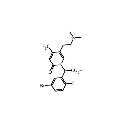 CN(C)CCc1cn(C(C(=O)O)c2cc(Br)ccc2F)c(=O)cc1C(F)(F)F